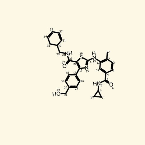 Cc1ccc(C(=O)NC2CC2)cc1Nc1nc(-c2ccc(CO)cc2)c(C(=O)NCC2C=CC=CC2)s1